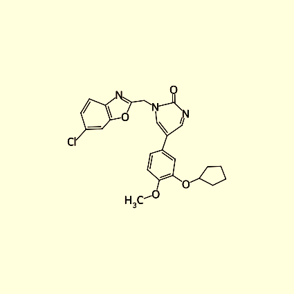 COc1ccc(-c2cnc(=O)n(Cc3nc4ccc(Cl)cc4o3)c2)cc1OC1CCCC1